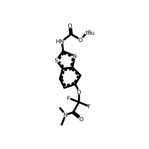 CN(C)C(=O)C(F)(F)Oc1ccc2sc(NC(=O)OC(C)(C)C)nc2c1